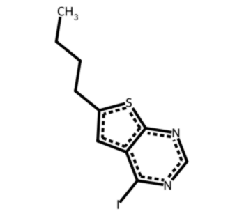 CCCCc1cc2c(I)ncnc2s1